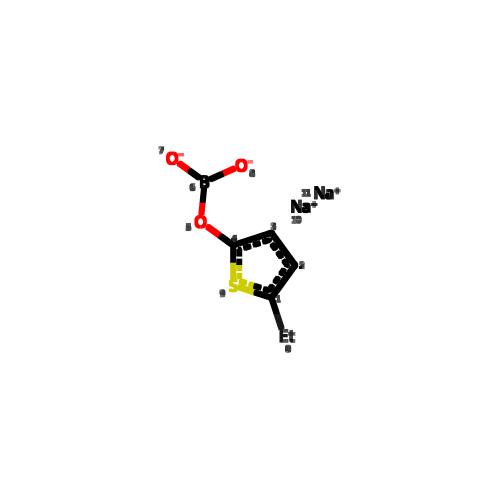 CCc1ccc(OB([O-])[O-])s1.[Na+].[Na+]